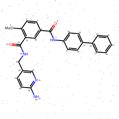 COc1ccc(C(=O)Nc2ccc(-c3ccccc3)cc2)cc1C(=O)NCc1ccc(N)nc1